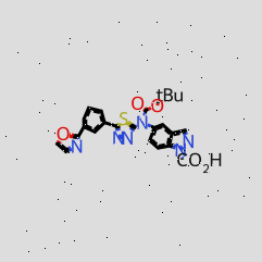 CC(C)(C)OC(=O)N(c1ccc2c(cnn2C(=O)O)c1)c1nnc(-c2cccc(-c3ncco3)c2)s1